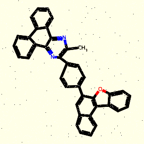 Cc1nc2c3ccccc3c3ccccc3c2nc1-c1ccc(-c2cc3ccccc3c3c2oc2ccccc23)cc1